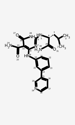 CC(C)C[C@@H](Nc1nc(Nc2cccc(-c3cccnc3)c2)c(C(N)=O)c(=O)[nH]1)C(N)=O